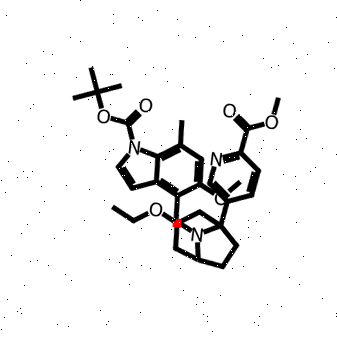 CCOC1CC2CCC(c3ccc(C(=O)OC)nc3)(C1)N2Cc1c(OC)cc(C)c2c1ccn2C(=O)OC(C)(C)C